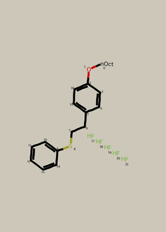 CCCCCCCCOc1ccc(CCSc2ccccc2)cc1.F.F.F.F.F